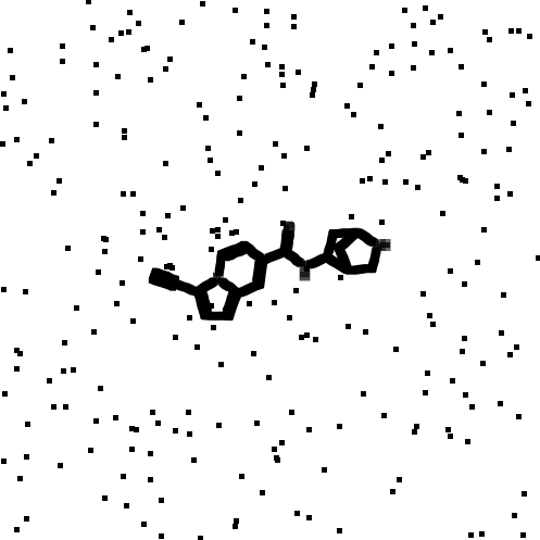 C#Cc1ccc2cc(C(=O)NC3CC4CC3CN4)ccn12